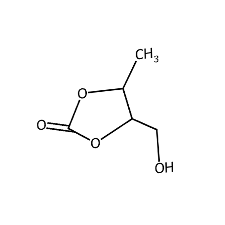 CC1OC(=O)OC1CO